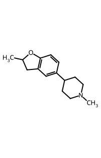 CC1Cc2cc(C3CCN(C)CC3)ccc2O1